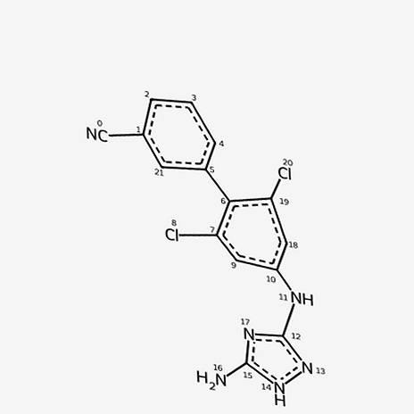 N#Cc1cccc(-c2c(Cl)cc(Nc3n[nH]c(N)n3)cc2Cl)c1